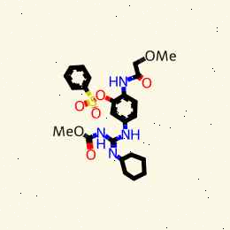 COCC(=O)Nc1ccc(NC(=NC2CCCCC2)NC(=O)OC)cc1OS(=O)(=O)c1ccccc1